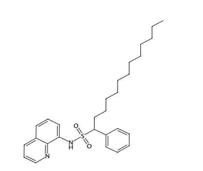 CCCCCCCCCCCCC(c1ccccc1)S(=O)(=O)Nc1cccc2cccnc12